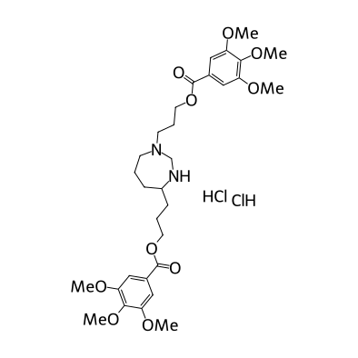 COc1cc(C(=O)OCCCC2CCCN(CCCOC(=O)c3cc(OC)c(OC)c(OC)c3)CN2)cc(OC)c1OC.Cl.Cl